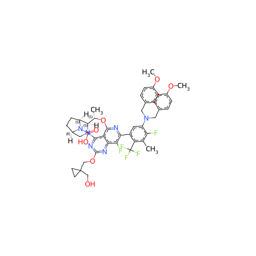 COc1ccc(CN(Cc2ccc(OC)cc2)c2cc(-c3nc4c5c(nc(OCC6(CO)CC6)nc5c3F)N3C[C@H]5CC[C@@H]([C@H]3[C@H](C)O4)N5C(=O)O)c(C(F)(F)F)c(C)c2F)cc1